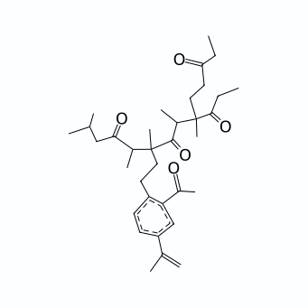 C=C(C)c1ccc(CCC(C)(C(=O)C(C)C(C)(CCC(=O)CC)C(=O)CC)C(C)C(=O)CC(C)C)c(C(C)=O)c1